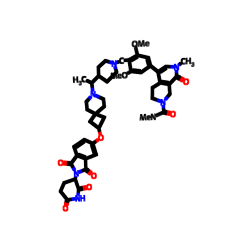 CNC(=O)N1CCc2c(-c3cc(OC)c(CN4CCC(C(C)N5CCC6(CC5)CC(Oc5ccc7c(c5)C(=O)N(C5CCC(=O)NC5=O)C7=O)C6)CC4)c(OC)c3)cn(C)c(=O)c2C1